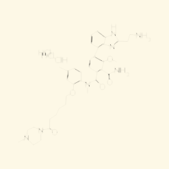 COc1c(-c2cccc3[nH]c(CCN)nc23)ccc(C(=O)N(C)c2ccc(C)cc2OCCCCCC(=O)N2CCN(C)CC2)c1C(N)=O.Cl.Cl.Cl